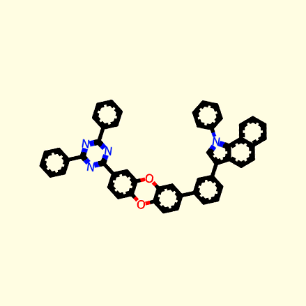 c1ccc(-c2nc(-c3ccccc3)nc(-c3ccc4c(c3)Oc3cc(-c5cccc(-c6cn(-c7ccccc7)c7c6ccc6ccccc67)c5)ccc3O4)n2)cc1